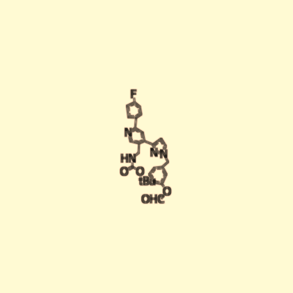 CC(C)(C)OC(=O)NCc1cnc(-c2ccc(F)cc2)cc1-c1ccn(Cc2cccc(OC=O)c2)n1